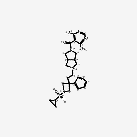 Cc1ncnc(C)c1C(=O)N1CC2CN(CCC3(c4ccccc4)CN(S(=O)(=O)C4CC4)C3)CC2C1